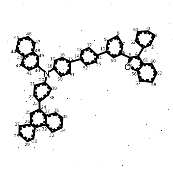 c1ccc(-c2c(-c3cccc(-c4ccc(-c5ccc(N(c6ccc(-c7cc8ccccc8c8ccccc78)cc6)c6ccc7ccccc7c6)cc5)cc4)c3)oc3ccccc23)cc1